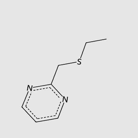 CCSCc1ncccn1